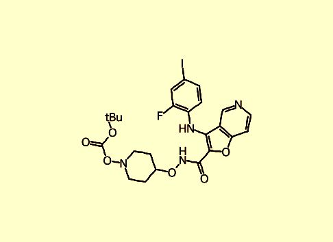 CC(C)(C)OC(=O)ON1CCC(ONC(=O)c2oc3ccncc3c2Nc2ccc(I)cc2F)CC1